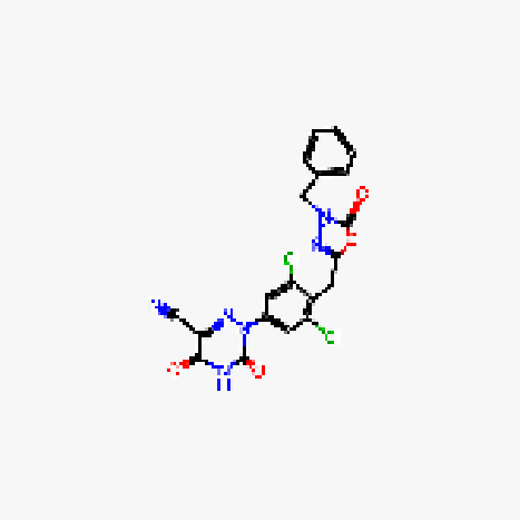 N#Cc1nn(-c2cc(Cl)c(Cc3nn(Cc4ccccc4)c(=O)o3)c(Cl)c2)c(=O)[nH]c1=O